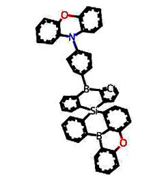 c1ccc2c(c1)Oc1cccc3c1B2c1ccccc1[Si]31c2ccccc2B(c2ccc(N3c4ccccc4Oc4ccccc43)cc2)c2ccccc21